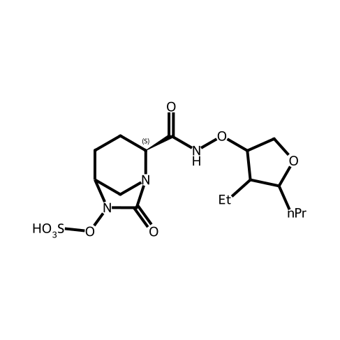 CCCC1OCC(ONC(=O)[C@@H]2CCC3CN2C(=O)N3OS(=O)(=O)O)C1CC